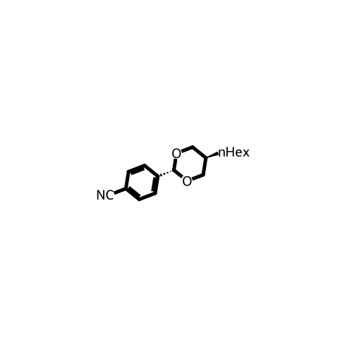 CCCCCC[C@H]1CO[C@H](c2ccc(C#N)cc2)OC1